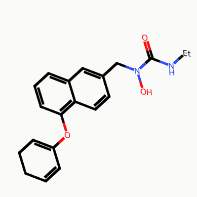 CCNC(=O)N(O)Cc1ccc2c(OC3=CCCC=C3)cccc2c1